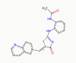 CC(=O)Nc1ccccc1NC1=NC(=O)/C(=C/c2ccc3ncccc3c2)S1